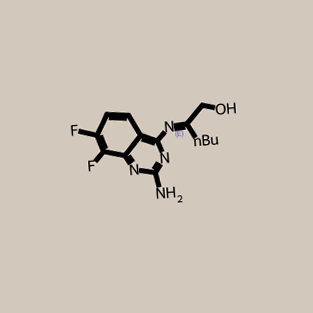 CCCC/C(CO)=N\c1nc(N)nc2c(F)c(F)ccc12